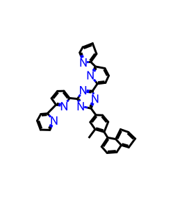 Cc1cc(-c2nc(-c3cccc(-c4ccccn4)n3)nc(-c3cccc(-c4ccccn4)n3)n2)ccc1-c1cccc2ccccc12